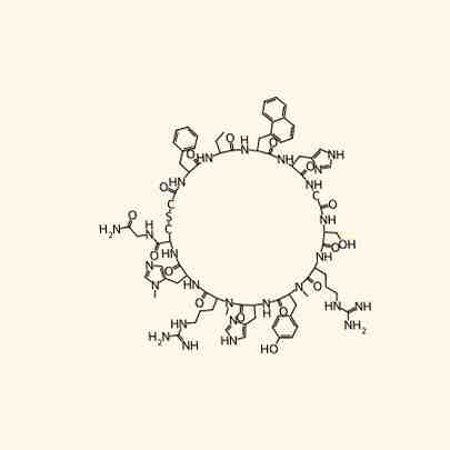 CCC1NC(=O)C(Cc2ccccc2)NC(=O)CSCC(C(=O)NCC(N)=O)NC(=O)C(Cc2cncn2C)NC(=O)C(CCCNC(=N)N)N(C)C(=O)C(Cc2c[nH]cn2)NC(=O)C(Cc2ccc(O)cc2)N(C)C(=O)C(CCCNC(=N)N)NC(=O)C(CO)NC(=O)CNC(=O)C(Cc2c[nH]cn2)NC(=O)C(Cc2cccc3ccccc23)NC1=O